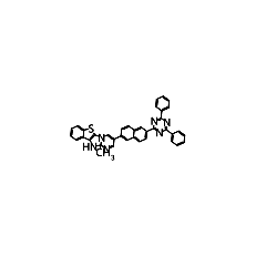 CC12N=CC(c3ccc4cc(-c5nc(-c6ccccc6)nc(-c6ccccc6)n5)ccc4c3)=CN1c1sc3ccccc3c1N2